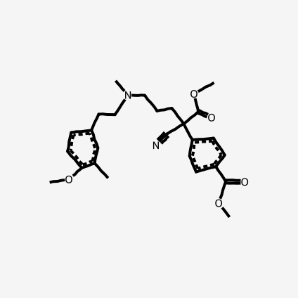 COC(=O)c1ccc(C(C#N)(CCCN(C)CCc2ccc(OC)c(C)c2)C(=O)OC)cc1